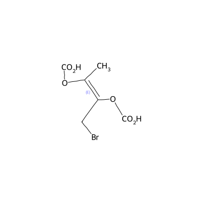 C/C(OC(=O)O)=C(/CBr)OC(=O)O